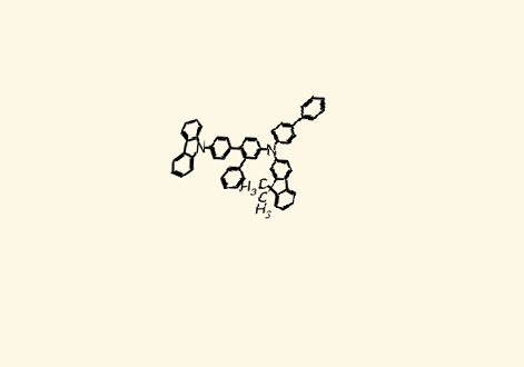 CC1(C)c2ccccc2-c2ccc(N(c3ccc(-c4ccccc4)cc3)c3ccc(-c4ccc(-n5c6ccccc6c6ccccc65)cc4)c(-c4ccccc4)c3)cc21